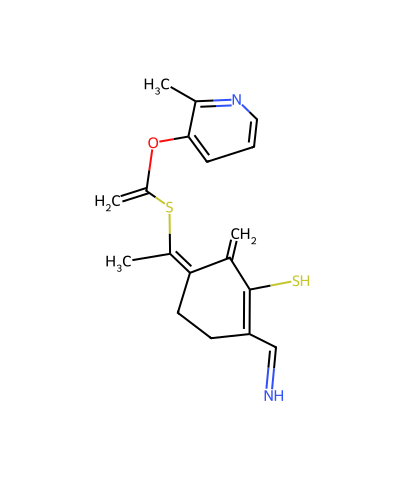 C=C(Oc1cccnc1C)S/C(C)=C1/CCC(C=N)=C(S)C1=C